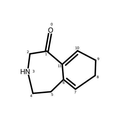 O=C1CNCCC2=CCCC=C12